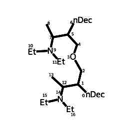 CCCCCCCCCCC(COCC(CCCCCCCCCC)C(C)N(CC)CC)C(C)N(CC)CC